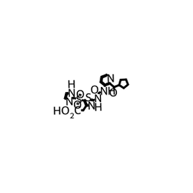 O=C(O)Cc1nc(NC(=O)Nc2cccnc2C(=O)C2CCCC2)sc1S(=O)(=O)c1ncc[nH]1